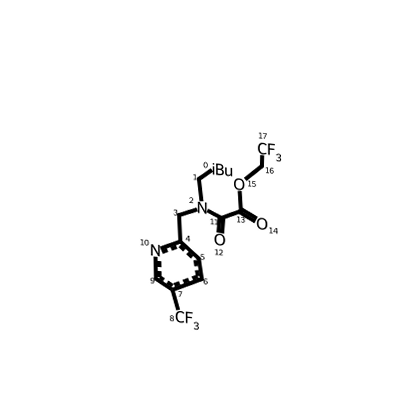 CCC(C)CN(Cc1ccc(C(F)(F)F)cn1)C(=O)C(=O)OCC(F)(F)F